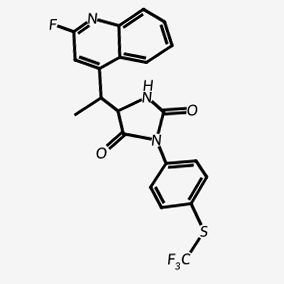 CC(c1cc(F)nc2ccccc12)C1NC(=O)N(c2ccc(SC(F)(F)F)cc2)C1=O